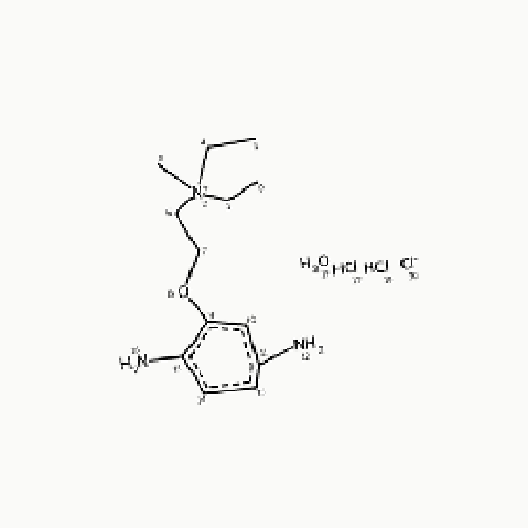 CC[N+](C)(CC)CCOc1cc(N)ccc1N.Cl.Cl.O.[Cl-]